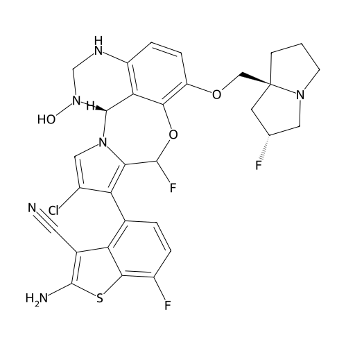 N#Cc1c(N)sc2c(F)ccc(-c3c(Cl)cn4c3C(F)Oc3c(OC[C@@]56CCCN5C[C@H](F)C6)ccc5c3[C@H]4N(O)CN5)c12